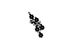 Cc1ccc(NC(=S)N(Cc2cccc(Cl)c2Cl)C[C@H](Cc2ccc(OCc3ccccc3)cc2)NC(=O)Cc2cncn2Cc2ccc(C#N)cc2)cc1